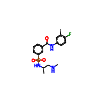 CNCC(C)NS(=O)(=O)c1cccc(C(=O)Nc2ccc(F)c(C)c2)c1